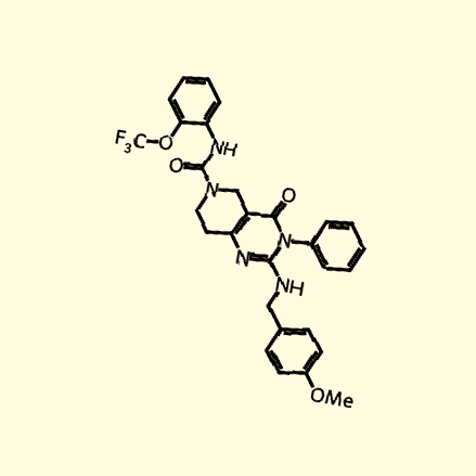 COc1ccc(CNc2nc3c(c(=O)n2-c2ccccc2)CN(C(=O)Nc2ccccc2OC(F)(F)F)CC3)cc1